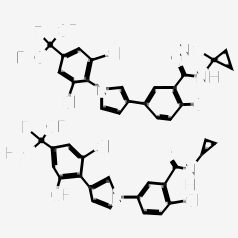 N#CC1(NC(=O)c2cc(-c3ccn(-c4c(Cl)cc(C(F)(C(F)(F)F)C(F)(F)F)cc4Cl)c3)ccc2Cl)CC1.O=C(NC1CC1)c1cc(-n2ccc(-c3c(Cl)cc(C(F)(C(F)(F)F)C(F)(F)F)cc3C(F)(F)F)c2)ccc1Cl